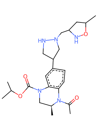 CC(=O)N1c2ccc(C3CNN(CC4CC(C)ON4)C3)cc2N(C(=O)OC(C)C)C[C@@H]1C